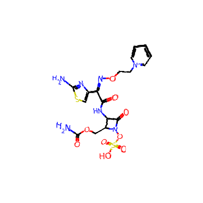 NC(=O)OCC1C(NC(=O)/C(=N\OCC[n+]2ccccc2)c2csc(N)n2)C(=O)N1OS(=O)(=O)O